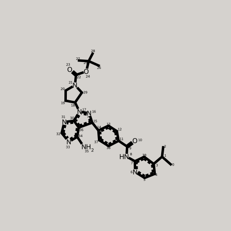 CC(C)c1ccnc(NC(=O)c2ccc(-c3nn(C4CCN(C(=O)OC(C)(C)C)C4)c4ncnc(N)c34)cc2)c1